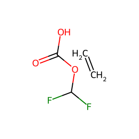 C=C.O=C(O)OC(F)F